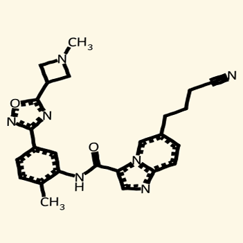 Cc1ccc(-c2noc(C3CN(C)C3)n2)cc1NC(=O)c1cnc2ccc(CCCC#N)cn12